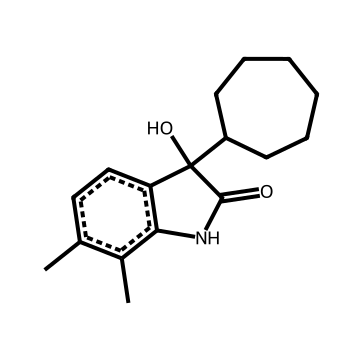 Cc1ccc2c(c1C)NC(=O)C2(O)C1CCCCCC1